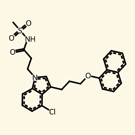 CS(=O)(=O)NC(=O)CCn1cc(CCCOc2cccc3ccccc23)c2c(Cl)cccc21